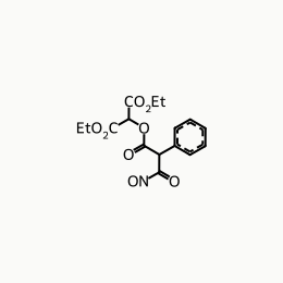 CCOC(=O)C(OC(=O)C(C(=O)N=O)c1ccccc1)C(=O)OCC